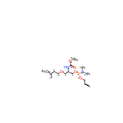 C=CCOP(OC[C@@H](COCC[C@@H](C)OC(C)=O)NC(=O)OC(C)(C)C)N(C(C)C)C(C)C